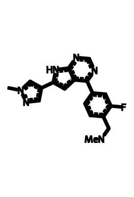 CNCc1ccc(-c2ncnc3[nH]c(-c4cnn(C)c4)cc23)cc1F